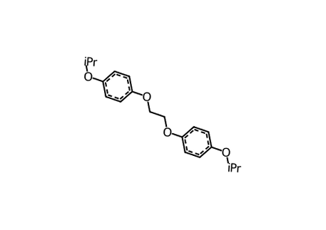 CC(C)Oc1ccc(OCCOc2ccc(OC(C)C)cc2)cc1